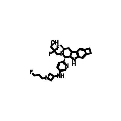 C[C@H]1CC2c3cc4c(cc3NC2[C@H](c2ccc(NC3CN(CCCF)C3)cn2)N1CC(F)(F)CO)CC4